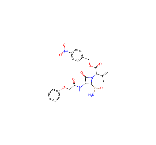 C=C(C)C(C(=O)OCc1ccc([N+](=O)[O-])cc1)N1C(=O)C(NC(=O)COc2ccccc2)C1[S+](N)[O-]